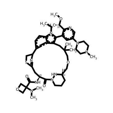 CCn1c(-c2cc(N3CCN(C)CC3)cnc2[C@H](C)OC)c2c3cc(ccc31)C1CSC(=N1)C[C@H](NC(=O)C1(N(C)C)COC1)C(=O)N1CCC[C@@H](COCC(C)(C)C2)N1